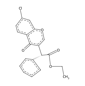 CCOC(=O)[C@H](c1ccccc1)c1coc2cc(Cl)ccc2c1=O